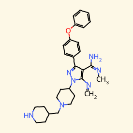 C=Nc1c(/C(N)=N\C)c(-c2ccc(Oc3ccccc3)cc2)nn1C1CCN(CC2CCNCC2)CC1